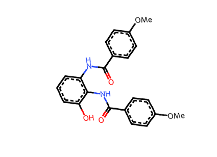 COc1ccc(C(=O)Nc2cccc(O)c2NC(=O)c2ccc(OC)cc2)cc1